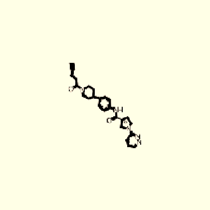 C#CCCC(=O)N1CCC(c2ccc(NC(=O)[C@H]3CCN(c4cccnn4)C3)cc2)CC1